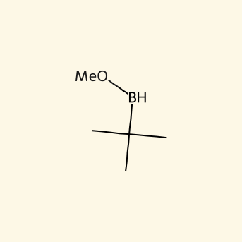 COBC(C)(C)C